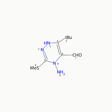 CSC1=NNC(C(C)(C)C)=C(C=O)N1N